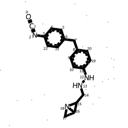 O=C=Nc1ccc(Cc2ccc(NNCC3C4CN34)cc2)cc1